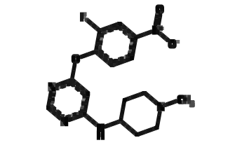 CN1CCC(Nc2cc(Oc3ccc([N+](=O)[O-])cc3F)ncn2)CC1